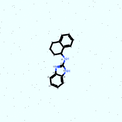 c1ccc2c(c1)CCCC2Nc1nc2ccccc2[nH]1